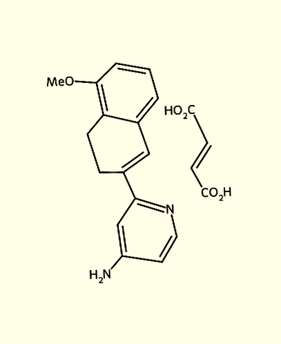 COc1cccc2c1CCC(c1cc(N)ccn1)=C2.O=C(O)C=CC(=O)O